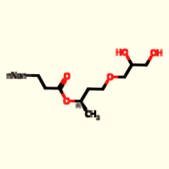 CCCCCCCCCCCC(=O)O[C@H](C)CCOCC(O)CO